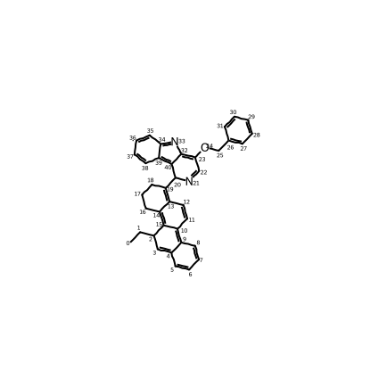 CCC1C=c2ccccc2=c2ccc3c(c21)CCCC=3C1N=CC(OCc2ccccc2)=C2N=c3c[c]ccc3=C21